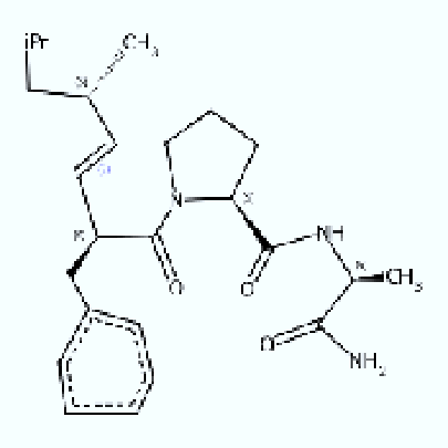 CC(C)C[C@H](C)/C=C/[C@H](Cc1ccccc1)C(=O)N1CCC[C@H]1C(=O)N[C@@H](C)C(N)=O